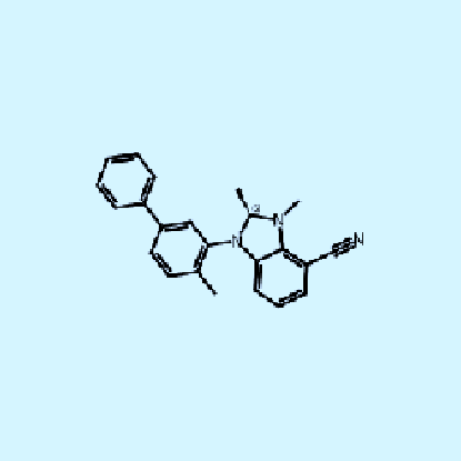 Cc1ccc(-c2ccccc2)cc1N1c2cccc(C#N)c2N(C)[C@@H]1C